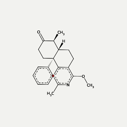 COc1nc(C)nc2c1CC[C@H]1[C@H](C)C(=O)CC[C@]21c1ccccc1